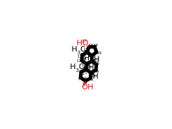 C[C@]12CCC(O)C[C@H]1CC[C@@H]1[C@@H]2CC[C@]2(C)C(O)CC[C@@H]12